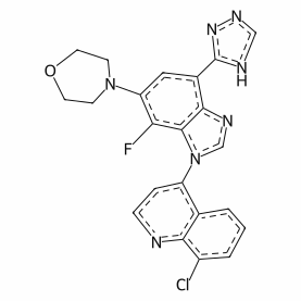 Fc1c(N2CCOCC2)cc(-c2nnc[nH]2)c2ncn(-c3ccnc4c(Cl)cccc34)c12